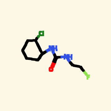 O=C(NCCF)NC1CCCCC1Cl